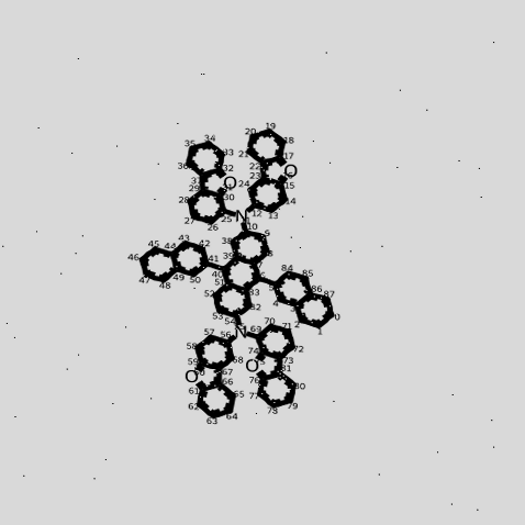 c1ccc2cc(-c3c4ccc(N(c5ccc6oc7ccccc7c6c5)c5cccc6c5oc5ccccc56)cc4c(-c4ccc5ccccc5c4)c4ccc(N(c5ccc6oc7ccccc7c6c5)c5cccc6c5oc5ccccc56)cc34)ccc2c1